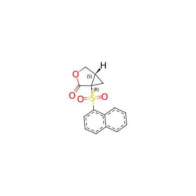 O=C1OC[C@@H]2C[C@]12S(=O)(=O)c1cccc2ccccc12